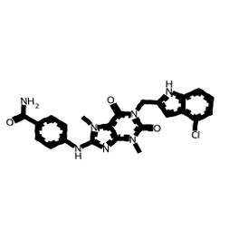 Cn1c(Nc2ccc(C(N)=O)cc2)nc2c1c(=O)n(Cc1cc3c(Cl)cccc3[nH]1)c(=O)n2C